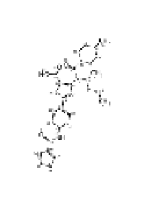 COCC(C)N(c1cc(-c2ccc(NC(=O)c3cscn3)cc2)sc1C(=O)O)C(=O)[C@H]1CC[C@H](C)CC1